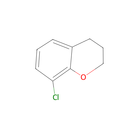 Clc1cccc2c1OCCC2